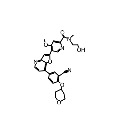 COc1cc(C(=O)N(C)CCO)ncc1-c1cc2nccc(-c3ccc(OC4CCOCC4)c(C#N)c3)c2o1